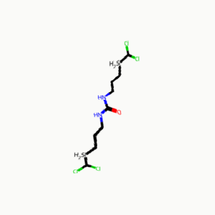 O=C(NCCC[SiH2]C(Cl)Cl)NCCC[SiH2]C(Cl)Cl